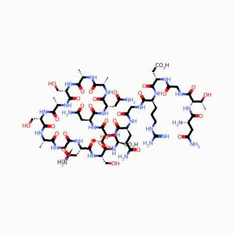 C[C@H](NC(=O)[C@H](C)NC(=O)[C@H](CC(N)=O)NC(=O)[C@H](CC(N)=O)NC(=O)[C@@H](NC(=O)[C@H](CCC(N)=O)NC(=O)CNC(=O)[C@H](CCCNC(=N)N)NC(=O)[C@H](CC(=O)O)NC(=O)CNC(=O)[C@@H](NC(=O)[C@@H](N)CC(N)=O)[C@@H](C)O)[C@@H](C)O)C(=O)N[C@@H](CO)C(=O)N[C@@H](C)C(=O)N[C@@H](CO)C(=O)N[C@@H](C)C(=O)N[C@@H](CO)C(=O)N[C@@H](CC(N)=O)C(=O)N[C@@H](CO)C(=O)N[C@H](C(=O)O)[C@@H](C)O